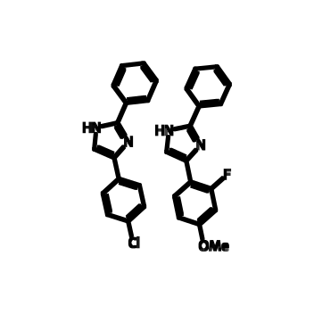 COc1ccc(-c2c[nH]c(-c3ccccc3)n2)c(F)c1.Clc1ccc(-c2c[nH]c(-c3ccccc3)n2)cc1